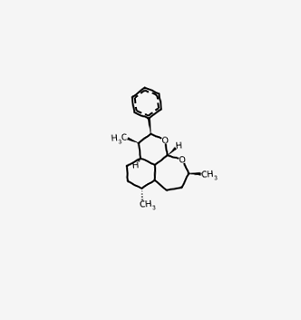 C[C@H]1[C@@H](c2ccccc2)O[C@@H]2O[C@@H](C)CCC3C2[C@H]1CC[C@H]3C